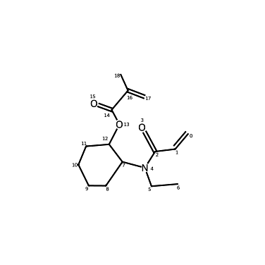 C=CC(=O)N(CC)C1CCCCC1OC(=O)C(=C)C